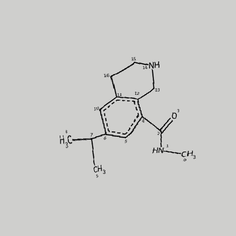 CNC(=O)c1cc(C(C)C)cc2c1CNCC2